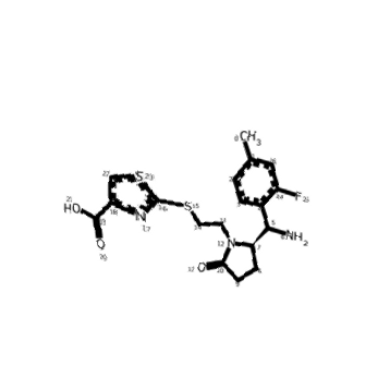 Cc1ccc(C(N)[C@H]2CCC(=O)N2CCSc2nc(C(=O)O)cs2)c(F)c1